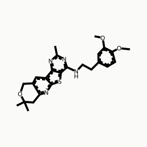 COc1ccc(CCNc2nc(C)nc3c2sc2nc4c(cc23)COC(C)(C)C4)cc1OC